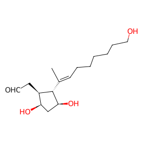 C/C(=C\CCCCCCO)[C@H]1[C@H](CC=O)[C@H](O)C[C@@H]1O